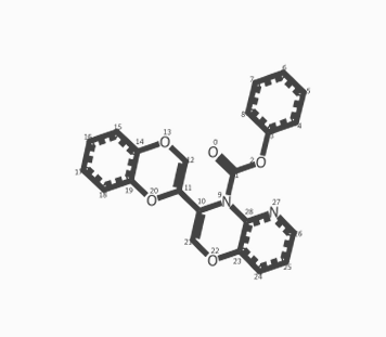 O=C(Oc1ccccc1)N1C(C2=COc3ccccc3O2)=COc2cccnc21